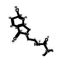 CN(C)C(=O)NCCN1Cc2nc(Cl)ccc2C1=O